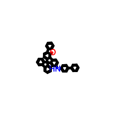 c1ccc(-c2ccc(Nc3ccc4c(c3)C3(c5ccccc5-c5ccccc53)c3ccc5c(oc6ccccc65)c3-4)cc2)cc1